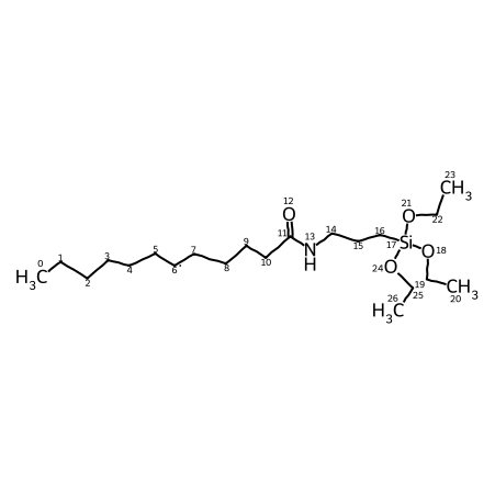 CCCCCC[CH]CCCCC(=O)NCCC[Si](OCC)(OCC)OCC